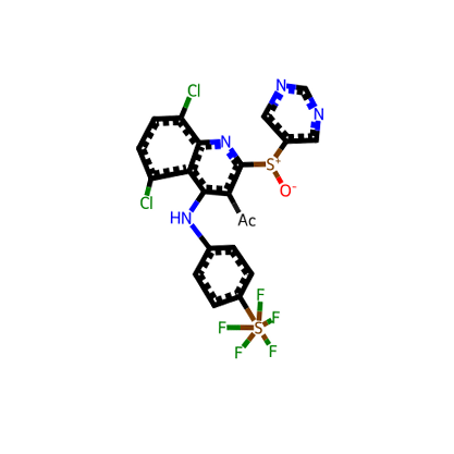 CC(=O)c1c([S+]([O-])c2cncnc2)nc2c(Cl)ccc(Cl)c2c1Nc1ccc(S(F)(F)(F)(F)F)cc1